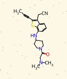 CC#Cc1sc2c(NC3CCN(C(=O)CN(C)C)CC3)cccc2c1CC#N